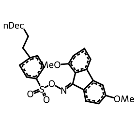 CCCCCCCCCCCCc1ccc(S(=O)(=O)ON=C2c3ccc(OC)cc3-c3cccc(OC)c32)cc1